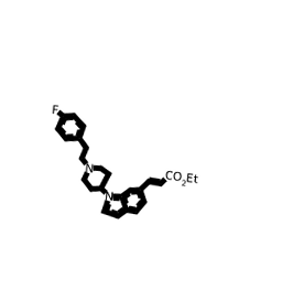 CCOC(=O)C=Cc1ccc2ccn(C3CCN(CCc4ccc(F)cc4)CC3)c2c1